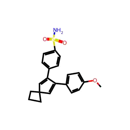 COc1ccc(C2=CC3(C=C2c2ccc(S(N)(=O)=O)cc2)CCC3)cc1